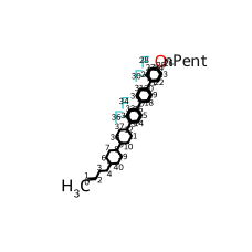 C/C=C/CCC1CCC(C2CCC(c3ccc(-c4ccc(-c5ccc(OCCCCC)c(F)c5F)cc4)c(F)c3F)CC2)CC1